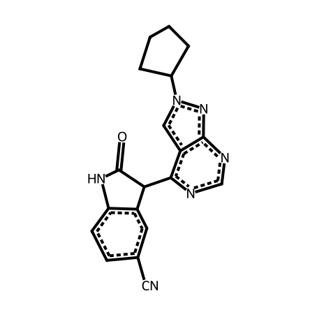 N#Cc1ccc2c(c1)C(c1ncnc3nn(C4CCCC4)cc13)C(=O)N2